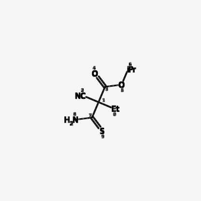 CCC(C#N)(C(=O)OC(C)C)C(N)=S